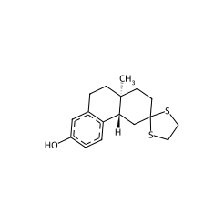 C[C@@]12CCc3cc(O)ccc3[C@H]1CC1(CC2)SCCS1